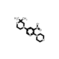 CC1(C)CN(c2cnc(N3CCOCC3)c([N+](=O)[O-])c2)CCO1